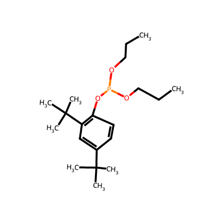 CCCOP(OCCC)Oc1ccc(C(C)(C)C)cc1C(C)(C)C